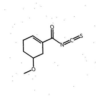 COC1CCC=C(C(=O)N=C=S)C1